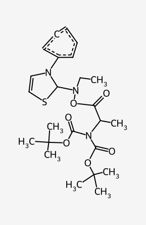 CCN(OC(=O)C(C)N(C(=O)OC(C)(C)C)C(=O)OC(C)(C)C)C1SC=CN1c1ccccc1